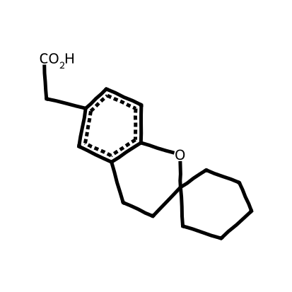 O=C(O)Cc1ccc2c(c1)CCC1(CCCCC1)O2